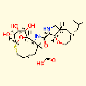 CC(C)C[C@@H]1CCO[C@@H]2[C@H](CN[C@@H]2C(=O)N[C@H]2[C@H]3O[C@H](SCCCCC2(C)C)[C@H](O)[C@@H](O)[C@H]3O)C1.O=CO